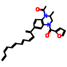 C=C\C=C/C=C/C=C/C=C\C(=C)c1ccc2c(c1)N(C(=O)c1ccco1)CC(C)N2C(C)=O